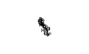 CN(C)C(=O)CNC(=O)c1ccc(-c2noc(C(F)(F)F)n2)cc1